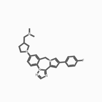 CN(C)CC1CCN(c2ccc3c(c2)Cn2cc(-c4ccc(F)cc4)cc2-c2ncnn2-3)C1